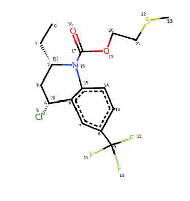 CC[C@H]1C[C@@H](Cl)c2cc(C(F)(F)F)ccc2N1C(=O)OCCSC